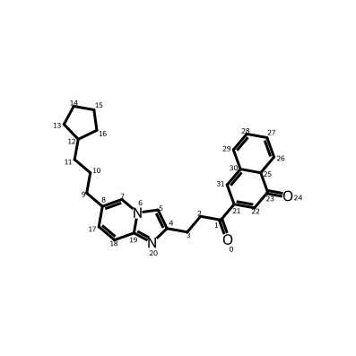 O=C(CCc1cn2cc(CCCC3CCCC3)ccc2n1)C1=CC(=O)C2C=CC=CC2=C1